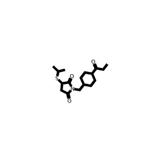 CCC(=O)C1CCC(CN2C(=O)CC(SC(C)C)C2=O)CC1